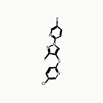 Fc1ccc(-n2cc(Sc3ccc(Cl)cn3)c(I)n2)nc1